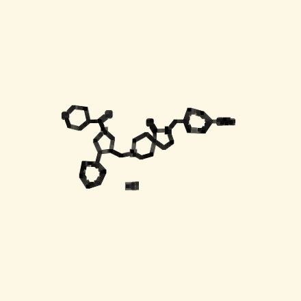 COc1ccc(CN2CCC3(CCN(CC4CN(C(=O)C5CCOCC5)CC4c4ccccc4)CC3)C2=O)cc1.Cl